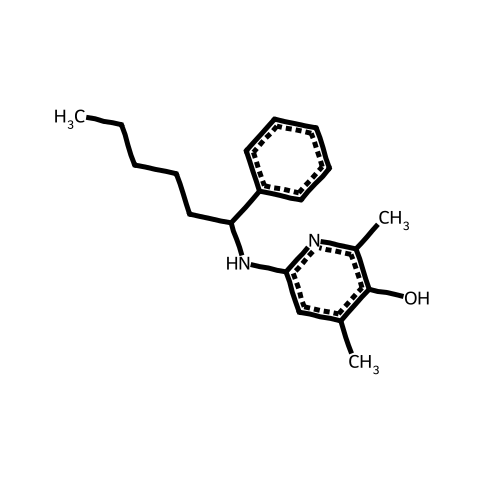 CCCCCC(Nc1cc(C)c(O)c(C)n1)c1ccccc1